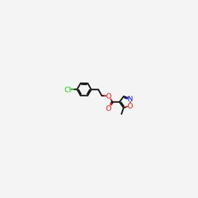 Cc1oncc1C(=O)OCCc1ccc(Cl)cc1